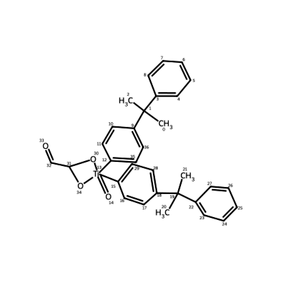 CC(C)(c1ccccc1)c1cc[c]([Ti]2(=[O])([c]3ccc(C(C)(C)c4ccccc4)cc3)[O]C(C=O)[O]2)cc1